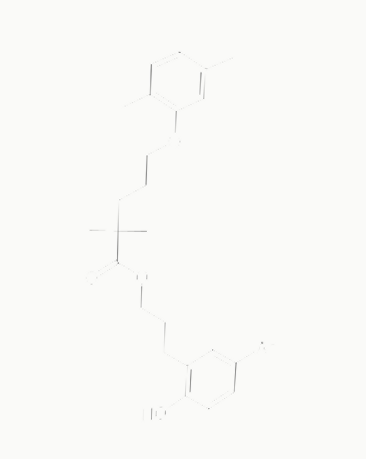 CC(=O)c1ccc(O)c(CCCOC(=O)C(C)(C)CCCOc2cc(C)ccc2C)c1